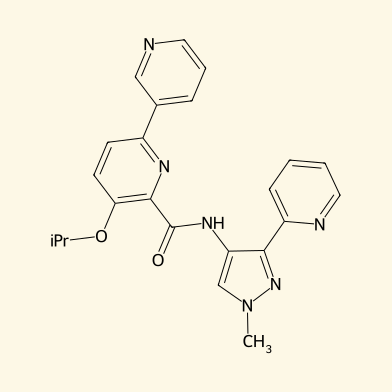 CC(C)Oc1ccc(-c2cccnc2)nc1C(=O)Nc1cn(C)nc1-c1ccccn1